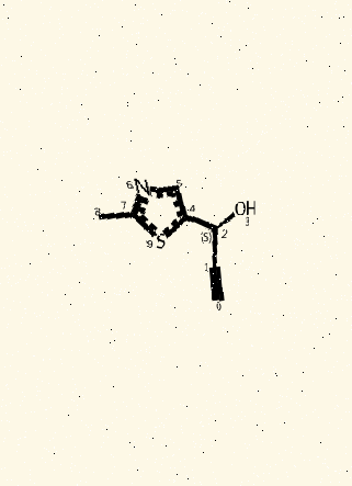 C#C[C@H](O)c1cnc(C)s1